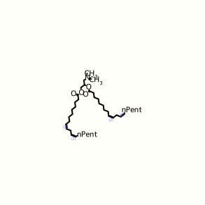 CCCCC/C=C\C/C=C\CCCCCCCC(=O)OCC(CN(C)C)OC(=O)CCCCCCC/C=C\C/C=C\CCCCC